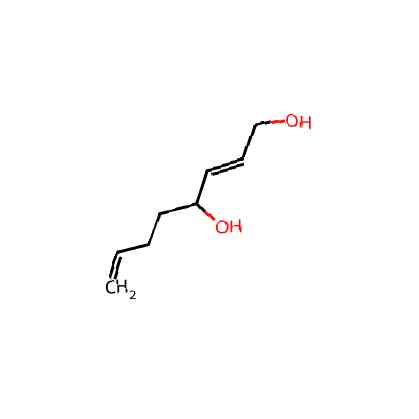 C=CCCC(O)/C=C/CO